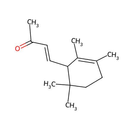 CC(=O)/C=C/C1C(C)=C(C)CCC1(C)C